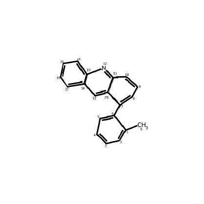 Cc1ccccc1-c1cccc2nc3ccccc3cc12